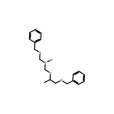 CC(COCc1ccccc1)OC[S+]([O-])COCc1ccccc1